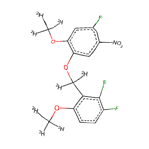 [2H]C([2H])([2H])Oc1cc(F)c([N+](=O)[O-])cc1OC([2H])([2H])c1c(OC([2H])([2H])[2H])ccc(F)c1F